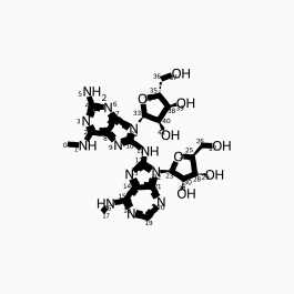 CNc1nc(N)nc2c1nc(Nc1nc3c(NC)ncnc3n1[C@H]1O[C@@H](CO)[C@H](O)[C@@H]1O)n2[C@@H]1O[C@H](CO)[C@@H](O)[C@H]1O